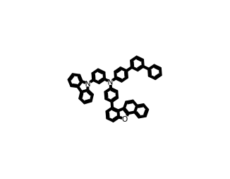 c1ccc(-c2cccc(-c3ccc(N(c4ccc(-c5cccc6oc7c8ccccc8ccc7c56)cc4)c4cccc(-n5c6ccccc6c6ccccc65)c4)cc3)c2)cc1